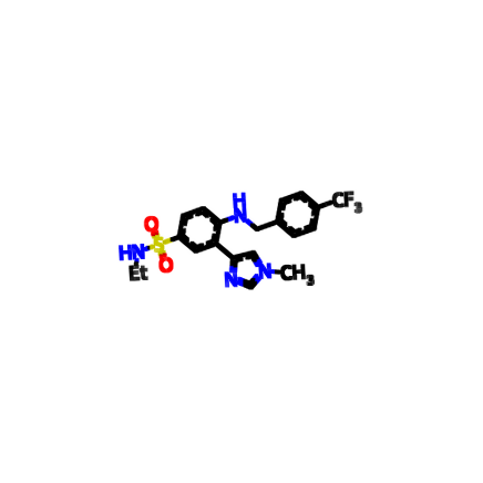 CCNS(=O)(=O)c1ccc(NCc2ccc(C(F)(F)F)cc2)c(-c2cn(C)cn2)c1